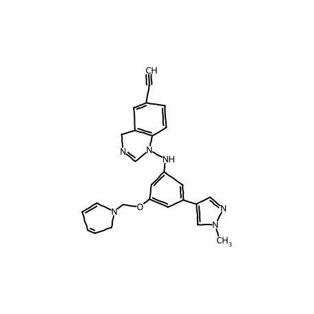 C#Cc1ccc2c(c1)CN=CN2Nc1cc(OCN2C=CC=CC2)cc(-c2cnn(C)c2)c1